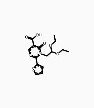 CCOC(Cn1c(-c2cccs2)ncc(C(=O)O)c1=O)OCC